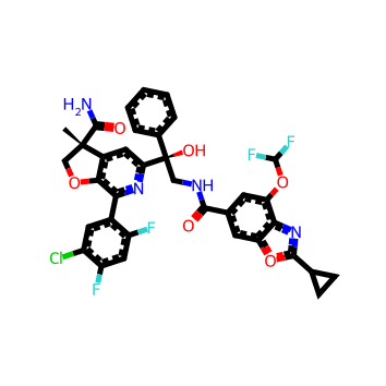 C[C@]1(C(N)=O)COc2c1cc([C@@](O)(CNC(=O)c1cc(OC(F)F)c3nc(C4CC4)oc3c1)c1ccccc1)nc2-c1cc(Cl)c(F)cc1F